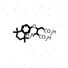 CC1(C)CCC(C)(C)c2cc(OC(CC(=O)O)C(N)C(=O)O)ccc21